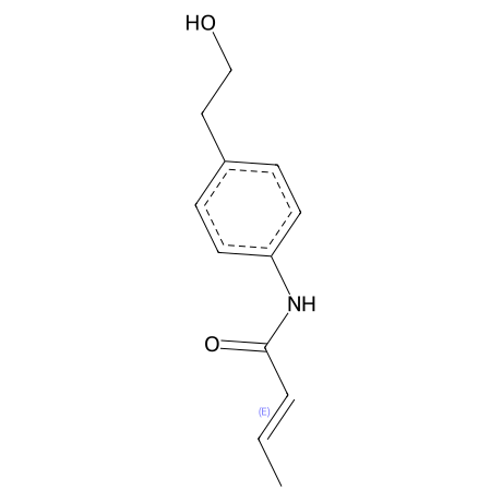 C/C=C/C(=O)Nc1ccc(CCO)cc1